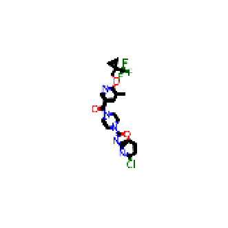 Cc1cc(C(=O)N2CCN(c3nc4nc(Cl)ccc4o3)CC2)cnc1OCC1(C(F)(F)F)CC1